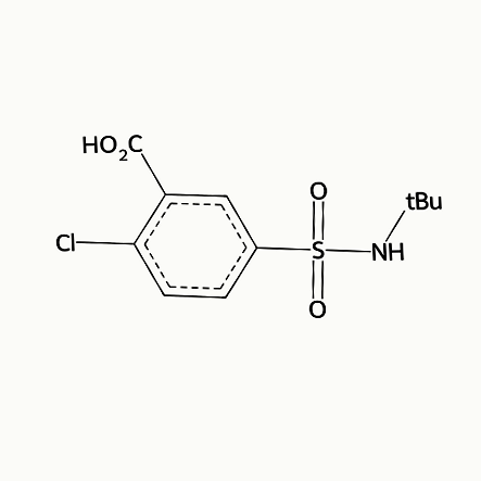 CC(C)(C)NS(=O)(=O)c1ccc(Cl)c(C(=O)O)c1